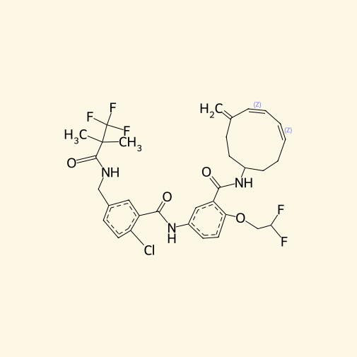 C=C1/C=C\C=C/CCC(NC(=O)c2cc(NC(=O)c3cc(CNC(=O)C(C)(C)C(F)(F)F)ccc3Cl)ccc2OCC(F)F)CC1